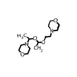 CC(OCCN1CCOCC1)OC(C)N1CCOCC1